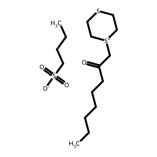 CCCCCCC(=O)C[S+]1CCSCC1.CCCCS(=O)(=O)[O-]